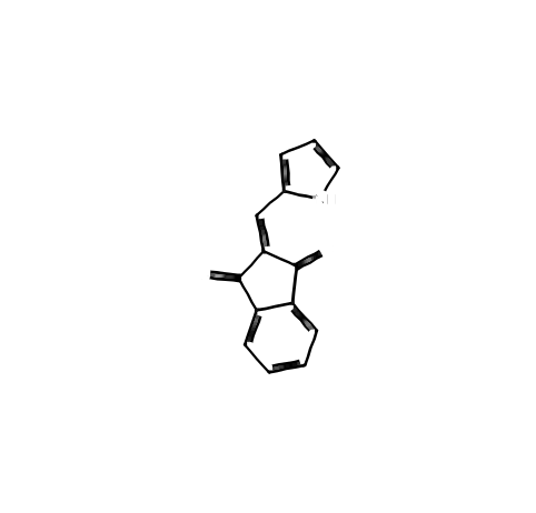 O=C1C(=Cc2ccc[nH]2)C(=O)c2ccccc21